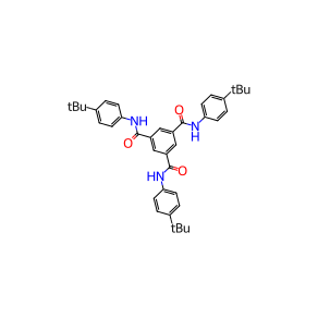 CC(C)(C)c1ccc(NC(=O)c2cc(C(=O)Nc3ccc(C(C)(C)C)cc3)cc(C(=O)Nc3ccc(C(C)(C)C)cc3)c2)cc1